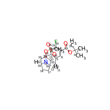 CC(C)(C)OC(=O)c1cc(C2CC2)c(CN2[C@@H]3CC[C@H]2CC(OS(C)(=O)=O)C3)cc1F